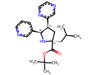 CC(C)C[C@@]1(C(=O)OC(C)(C)C)C[C@H](c2cnccn2)[C@H](c2cccnc2)N1